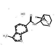 Cc1coc2cc(C(=O)N[C@H]3CN4CCC3CC4)ccc12.Cl